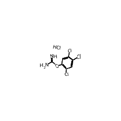 Cl.N=C(N)Oc1cc(Cl)c(Cl)cc1Cl